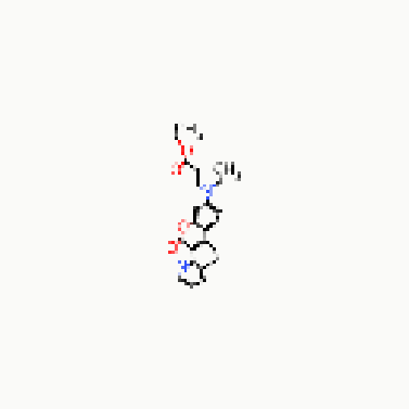 CCOC(=O)CCN(CC)c1ccc2c3c(c(=O)oc2c1)-c1ncccc1CC3